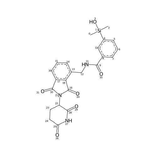 C[Si](C)(O)c1cccc(C(=O)NCc2cccc3c2C(=O)N(C2CCC(=O)NC2=O)C3=O)c1